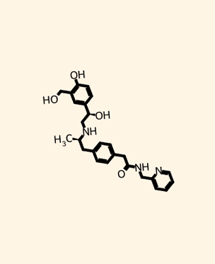 C[C@H](Cc1ccc(CC(=O)NCc2ccccn2)cc1)NC[C@H](O)c1ccc(O)c(CO)c1